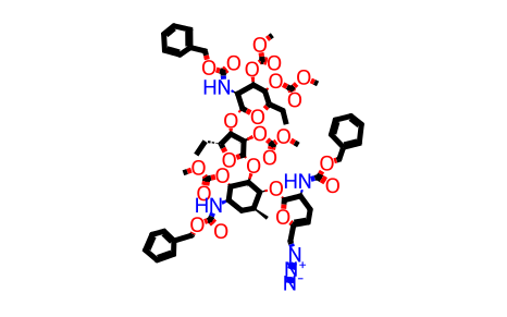 CCC1O[C@H](O[C@H]2[C@@H](OC(=O)OC)[C@H](O[C@@H]3[C@@H](OC(=O)OC)[C@H](NC(=O)OCc4ccccc4)C[C@H](C)[C@H]3O[C@H]3OC(CN=[N+]=[N-])=CC[C@H]3NC(=O)OCc3ccccc3)O[C@@H]2CC)[C@H](NC(=O)OCc2ccccc2)[C@@H](OC(=O)OC)[C@@H]1OC(=O)OC